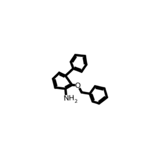 Nc1cccc(-c2ccccc2)c1OCc1ccccc1